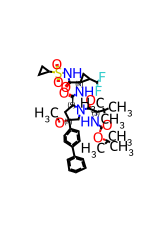 CO[C@@]1(c2ccc(-c3ccccc3)cc2)C[C@@H](C(=O)N[C@]2(C(=O)NS(=O)(=O)C3CC3)CC2C(F)F)N(C(=O)[C@@H](NC(=O)OC(C)(C)C)C(C)(C)C)C1